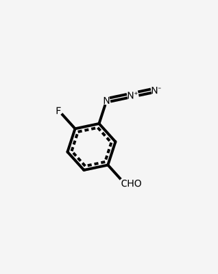 [N-]=[N+]=Nc1cc(C=O)ccc1F